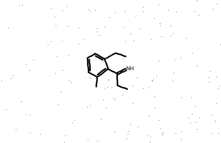 CCC(=N)c1c(C)cccc1CC